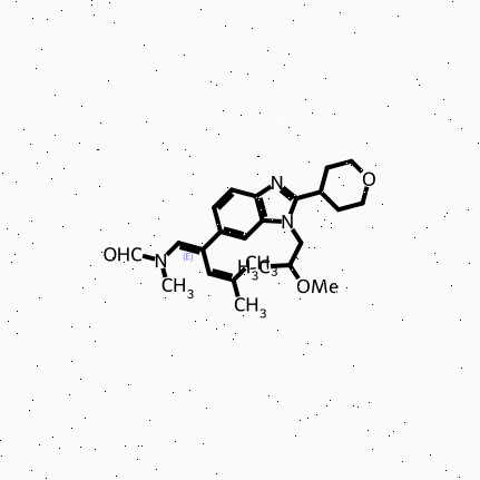 COC(C)Cn1c(C2CCOCC2)nc2ccc(/C(C=C(C)C)=C/N(C)C=O)cc21